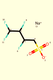 O=S(=O)([O-])CC(F)C(F)C(F)F.[Na+]